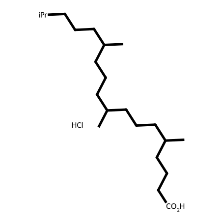 CC(C)CCCC(C)CCCC(C)CCCC(C)CCCC(=O)O.Cl